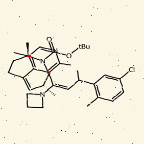 Cc1ccc(Cl)cc1C(C)/C=C(\c1c(C)ncc(C)c1/C1=C\[C@@H](C)CN(C(=O)OC(C)(C)C)[C@H](C)CC1)N1CCC1